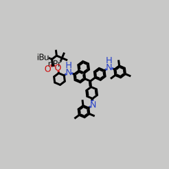 CCCC(C)(C)C(C)C(C(=O)OC1CCCCC1Nc1ccc(C(=C2C=CC(=Nc3c(C)cc(C)cc3C)C=C2)c2ccc(Nc3c(C)cc(C)cc3C)cc2)c2ccccc12)C(C)CC